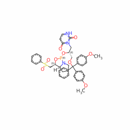 COc1ccc(C(OC[C@@H](Cn2c(=O)cc[nH]c2=O)O[P@@]2O[C@H](CS(=O)(=O)c3ccccc3)[C@@H]3CCCN32)(c2ccccc2)c2ccc(OC)cc2)cc1